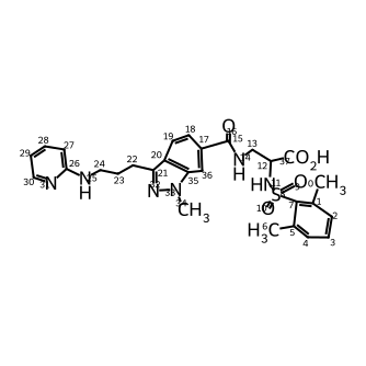 Cc1cccc(C)c1S(=O)(=O)NC(CNC(=O)c1ccc2c(CCCNc3ccccn3)nn(C)c2c1)C(=O)O